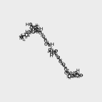 CC(=O)N[C@@H](CCCCNC(=O)COCCOCCOCC(=O)N[C@H](C(=O)N1C[C@H](O)C[C@H]1C(=O)NCc1ccc(-c2scnc2C)cc1)C(C)(C)C)C(=O)NCCOCCOCCOCCOCC(=O)Nc1cccc2c1CN(C1CCC(=O)NC1=O)C2